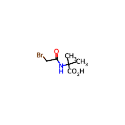 CC(C)(NC(=O)CBr)C(=O)O